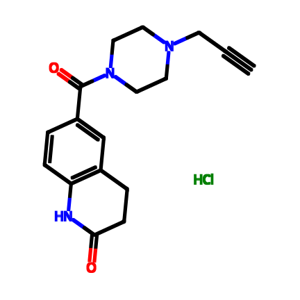 C#CCN1CCN(C(=O)c2ccc3c(c2)CCC(=O)N3)CC1.Cl